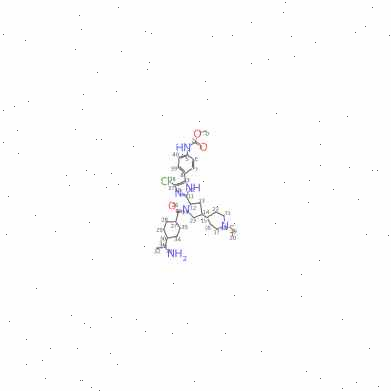 COC(=O)Nc1ccc(-c2[nH]c(C3CC(C4CCN(SC)CC4)CN3C(=O)C3CCC([C@H](C)N)CC3)nc2Cl)cc1